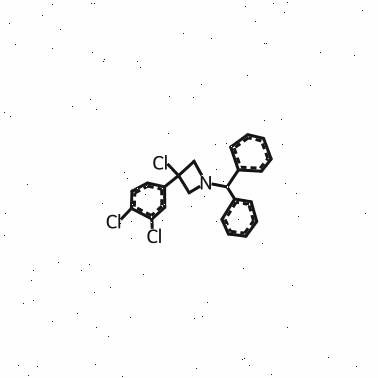 Clc1ccc(C2(Cl)CN(C(c3ccccc3)c3ccccc3)C2)cc1Cl